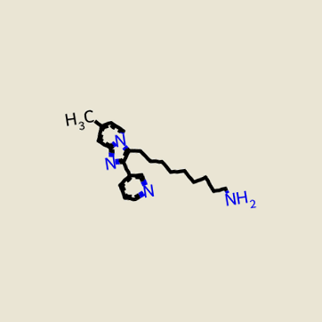 Cc1ccn2c(CCCCCCCCCN)c(-c3cccnc3)nc2c1